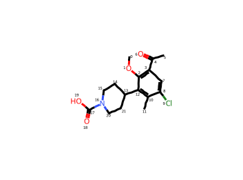 COc1c(C(C)=O)cc(Cl)c(C)c1C1CCN(C(=O)O)CC1